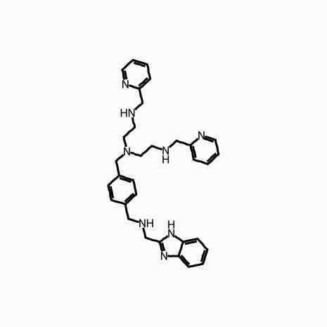 c1ccc(CNCCN(CCNCc2ccccn2)Cc2ccc(CNCc3nc4ccccc4[nH]3)cc2)nc1